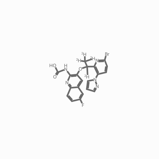 [2H]C([2H])([2H])C([2H])(Oc1cc2cc(F)ccc2nc1NC(=O)O)c1nc(Br)ccc1-n1cccn1